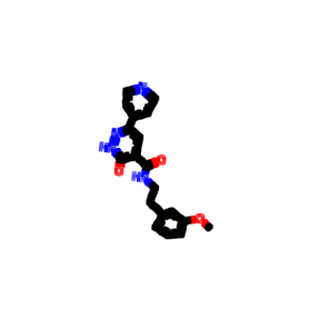 COc1cccc(CCNC(=O)c2cc(-c3ccncc3)n[nH]c2=O)c1